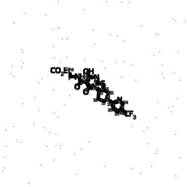 CCOC(=O)CNC(=O)c1c(O)nc2sc3c(n2c1=O)CCN(c1ccc(C(F)(F)F)cn1)C3